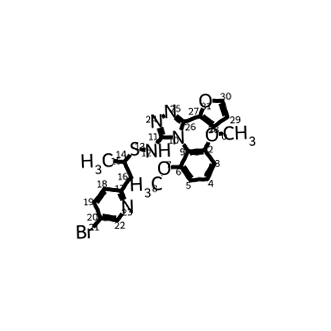 COc1cccc(OC)c1-n1c(NSC(C)Cc2ccc(Br)cn2)nnc1-c1ccco1